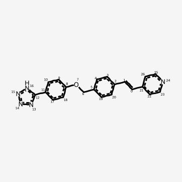 C(=Cc1ccc(COc2ccc(-c3nnn[nH]3)cc2)cc1)c1ccncc1